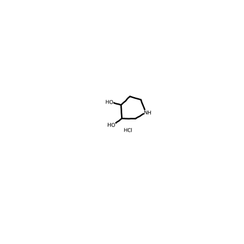 Cl.OC1CCNCC1O